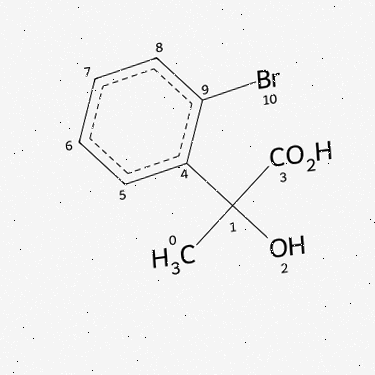 CC(O)(C(=O)O)c1ccccc1Br